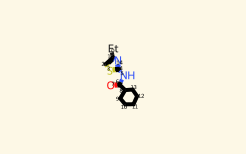 CCc1csc(NC(=O)C2CCCCC2)n1